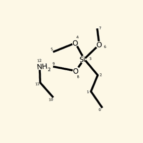 CCC[Si](OC)(OC)OC.CCN